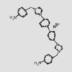 O=[N+]([O-])c1ccc(C[n+]2ccn(-c3ccc(-c4ccc(-n5cc[n+](Cc6ccc([N+](=O)[O-])cc6)c5)cc4)cc3)c2)cc1.[Br-].[Br-]